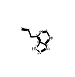 C=CCc1ncnc2nn[nH]c12